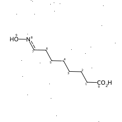 O=C(O)CCCCCCC=NO